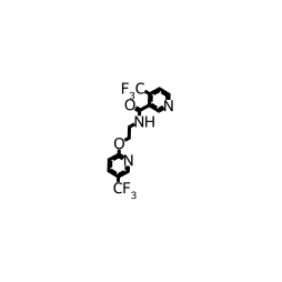 O=C(NCCOc1ccc(C(F)(F)F)cn1)c1cnccc1C(F)(F)F